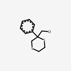 ClCC1(c2ccccc2)CSCCS1